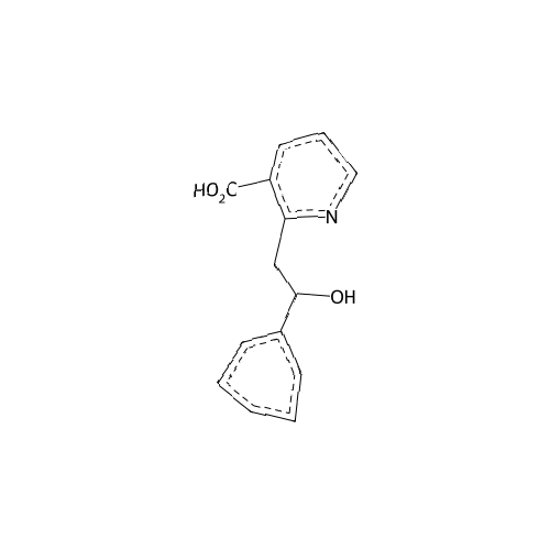 O=C(O)c1cccnc1CC(O)c1ccccc1